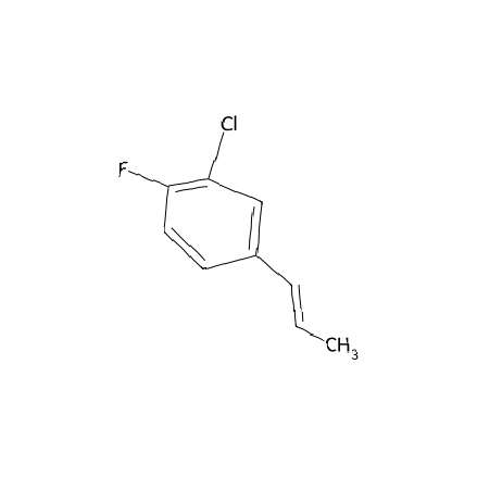 CC=Cc1ccc(F)c(Cl)c1